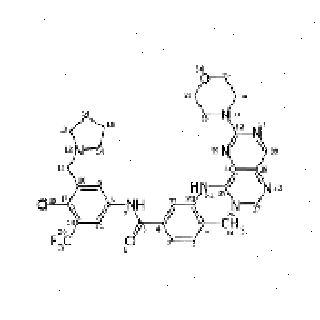 Cc1ccc(C(=O)Nc2cc(CN3CCCC3)c(Cl)c(C(F)(F)F)c2)cc1Nc1ncnc2cnc(N3CCOCC3)nc12